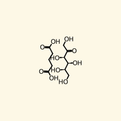 O=C(CO)[C@H](O)[C@@H](O)[C@H](O)CO.O=C(O)CCCC(=O)O